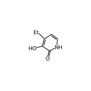 CCc1cc[nH]c(=O)c1O